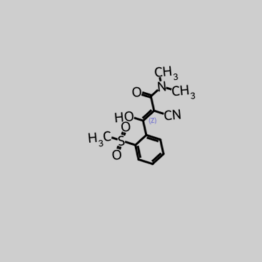 CN(C)C(=O)/C(C#N)=C(\O)c1ccccc1S(C)(=O)=O